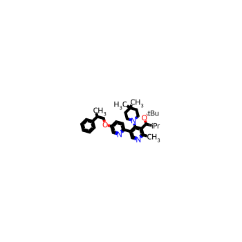 Cc1ncc(-c2ccc(OCC(C)c3ccccc3)cn2)c(N2CCC(C)(C)CC2)c1C(OC(C)(C)C)C(C)C